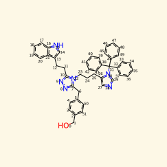 OCc1ccc(Cc2nnc(CCc3c[nH]c4ccccc34)n2CCCc2cncn2C(c2ccccc2)(c2ccccc2)c2ccccc2)cc1